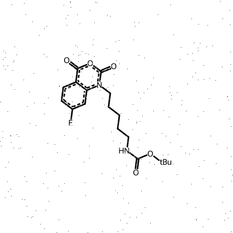 CC(C)(C)OC(=O)NCCCCCn1c(=O)oc(=O)c2ccc(F)cc21